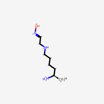 N[C@@H](CCCCNCC=NO)C(=O)O